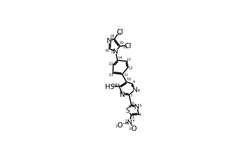 O=[N+]([O-])c1cnc(-c2ncc(-c3ccc(-n4cnc(Cl)c4Cl)cc3)c(S)n2)s1